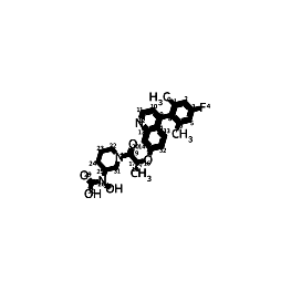 Cc1cc(F)cc(C)c1-c1ccnc2cc(O[C@H](C)C(=O)N3CCCC(N(O)C(=O)O)C3)ccc12